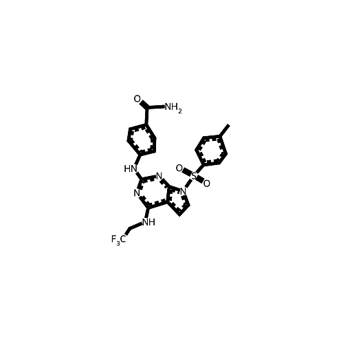 Cc1ccc(S(=O)(=O)n2ccc3c(NCC(F)(F)F)nc(Nc4ccc(C(N)=O)cc4)nc32)cc1